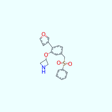 O=S(=O)(Cc1ccc(-c2ccoc2)c(OC2CNC2)c1)c1ccccc1